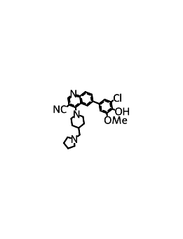 COc1cc(-c2ccc3ncc(C#N)c(N4CCC(CN5CCCC5)CC4)c3c2)cc(Cl)c1O